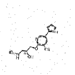 CC(C)(C)NC[C@H](O)COc1ncc(-c2ccc[nH]2)cc1C#N